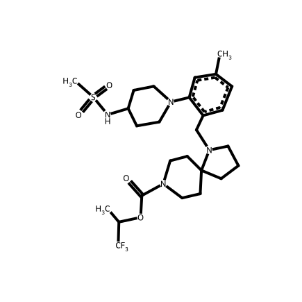 Cc1ccc(CN2CCCC23CCN(C(=O)OC(C)C(F)(F)F)CC3)c(N2CCC(NS(C)(=O)=O)CC2)c1